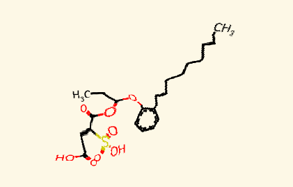 CCCCCCCCCc1ccccc1OC(CC)OC(=O)C(CC(=O)O)S(=O)(=O)O